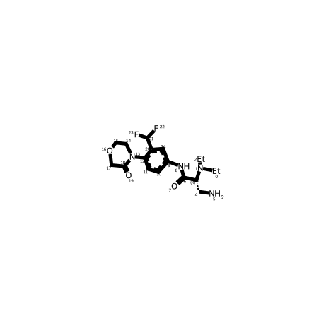 CCN(CC)[C@H](CN)C(=O)Nc1ccc(N2CCOCC2=O)c(C(F)F)c1